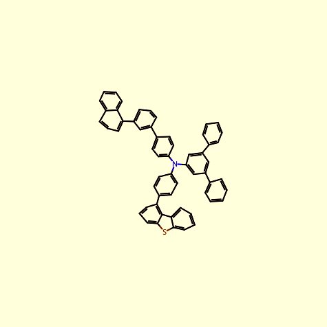 c1ccc(-c2cc(-c3ccccc3)cc(N(c3ccc(-c4cccc(-c5cccc6ccccc56)c4)cc3)c3ccc(-c4cccc5sc6ccccc6c45)cc3)c2)cc1